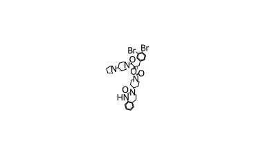 O=C(O[C@H](Cc1ccc(Br)c(Br)c1)C(=O)N1CCC(N2CCCC2)CC1)N1CCC(N2CCc3ccccc3NC2=O)CC1